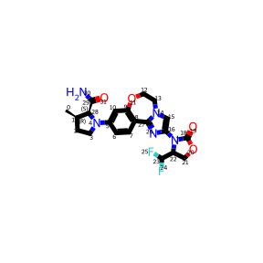 C[C@@H]1CCN(c2ccc3c(c2)OCCn2cc(N4C(=O)OCC4C(F)F)nc2-3)[C@@H]1C(N)=O